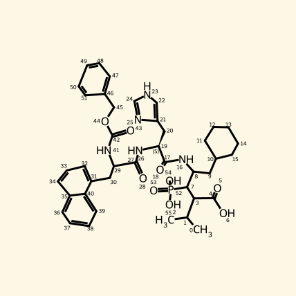 CC(C)C(C(=O)O)C(C(CC1CCCCC1)NC(=O)[C@H](Cc1c[nH]cn1)NC(=O)C(Cc1cccc2ccccc12)NC(=O)OCc1ccccc1)P(=O)(O)O